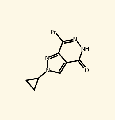 CC(C)c1n[nH]c(=O)c2cn(C3CC3)nc12